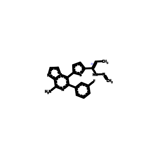 C=NN/C(=C\C)c1ccc(-c2c(-c3cccc(F)c3)nc(N)c3nccn23)s1